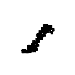 CC(C)(C)OC(=O)n1ncc2cc(/C=C/c3nc4ccc(O[Si](C)(C)C(C)(C)C)cc4s3)ccc21